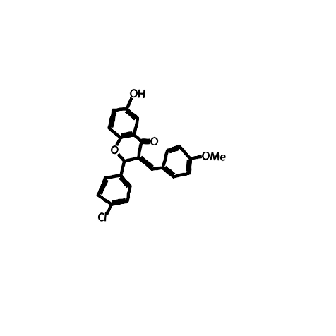 COc1ccc(C=C2C(=O)c3cc(O)ccc3OC2c2ccc(Cl)cc2)cc1